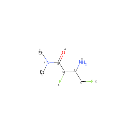 CCN(CC)C(=O)C(F)C(N)CF